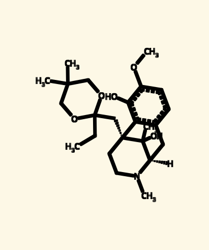 CCC1(C[C@]23CCN(C)[C@H](Cc4ccc(OC)c(O)c42)C3(C)O)OCC(C)(C)CO1